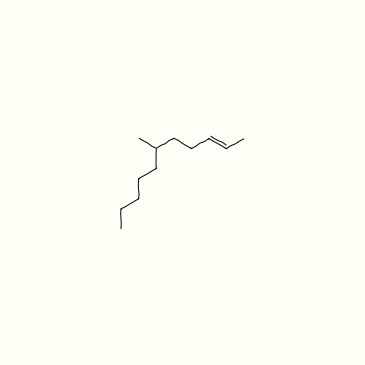 CC=CCCC(C)CCCCC